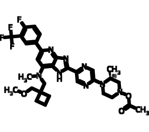 COCC1(CN(C)c2cc(-c3ccc(F)c(C(F)(F)F)c3)nc3nc(-c4cnc(N5CCN(OC(C)=O)C[C@H]5C)cn4)[nH]c23)CCC1